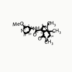 COc1cc(NC(=O)c2cn(C)c3c(C)cn(C)c(=O)c23)ccn1